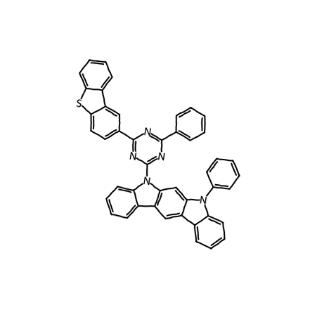 c1ccc(-c2nc(-c3ccc4sc5ccccc5c4c3)nc(-n3c4ccccc4c4cc5c6ccccc6n(-c6ccccc6)c5cc43)n2)cc1